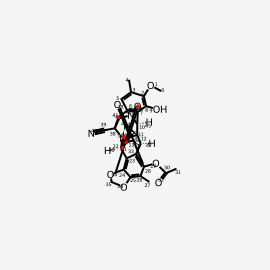 COc1c(C)cc2c(c1O)[C@H]1[C@@H]3[C@@H]4SCC(=O)C(=O)OCC[C@@H](c5c6c(c(C)c(OC(C)=O)c54)OCO6)N3C(C#N)(C2)CN1C